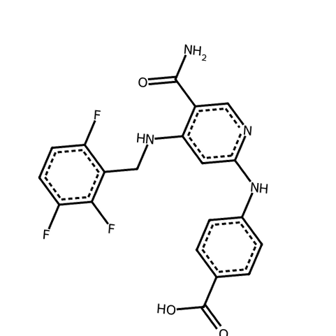 NC(=O)c1cnc(Nc2ccc(C(=O)O)cc2)cc1NCc1c(F)ccc(F)c1F